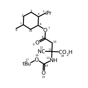 CC1CCC(C(C)C)C(OC(=O)CC(C#N)(NC(=O)OC(C)(C)C)C(=O)O)C1